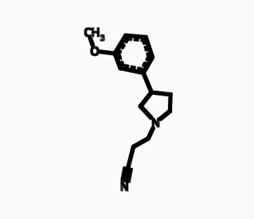 COc1cccc(C2CCN(CCC#N)C2)c1